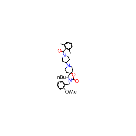 CCCCC1N(Cc2ccccc2OC)C(=O)OC12CCN(C1CCN(C(=O)c3c(C)cccc3C)CC1)CC2